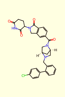 O=C1CCC(N2Cc3cc(C(=O)N4C[C@H]5C[C@@H]4CN5Cc4ccccc4-c4ccc(Cl)cc4)ccc3C2=O)C(=O)N1